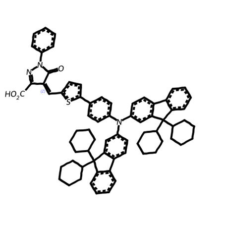 O=C(O)C1=NN(c2ccccc2)C(=O)/C1=C\c1ccc(-c2ccc(N(c3ccc4c(c3)C(C3CCCCC3)(C3CCCCC3)c3ccccc3-4)c3ccc4c(c3)C(C3CCCCC3)(C3CCCCC3)c3ccccc3-4)cc2)s1